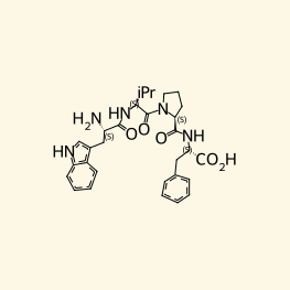 CC(C)[C@H](NC(=O)[C@@H](N)Cc1c[nH]c2ccccc12)C(=O)N1CCC[C@H]1C(=O)N[C@@H](Cc1ccccc1)C(=O)O